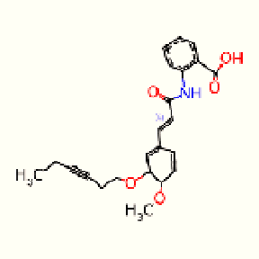 CCC#CCCOC1C=C(/C=C/C(=O)Nc2ccccc2C(=O)O)C=CC1OC